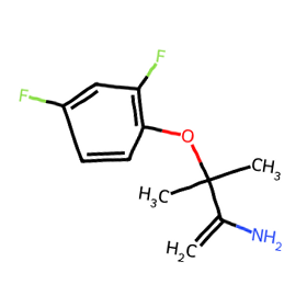 C=C(N)C(C)(C)Oc1ccc(F)cc1F